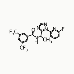 CC(NC(=O)c1cc(C(F)(F)F)cc(C(F)(F)F)c1)c1ncnn1-c1cccc(F)n1